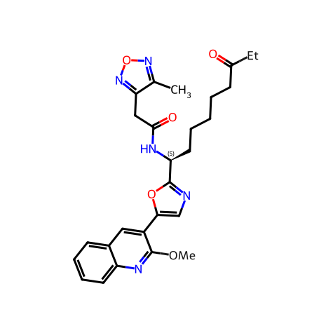 CCC(=O)CCCCC[C@H](NC(=O)Cc1nonc1C)c1ncc(-c2cc3ccccc3nc2OC)o1